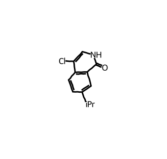 CC(C)c1ccc2c(Cl)c[nH]c(=O)c2c1